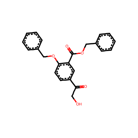 O=C(CO)c1ccc(OCc2ccccc2)c(C(=O)OCc2ccccc2)c1